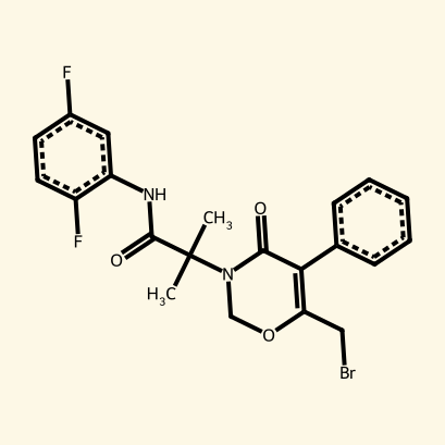 CC(C)(C(=O)Nc1cc(F)ccc1F)N1COC(CBr)=C(c2ccccc2)C1=O